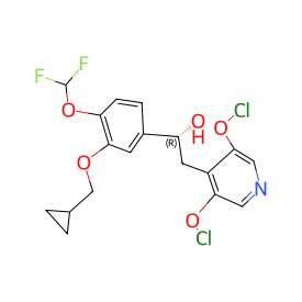 O[C@H](Cc1c(OCl)cncc1OCl)c1ccc(OC(F)F)c(OCC2CC2)c1